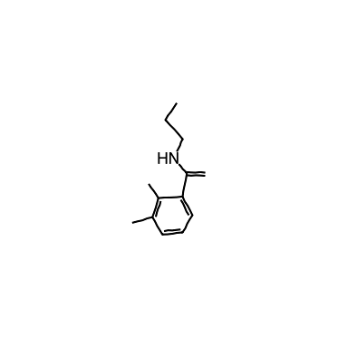 C=C(NCCC)c1cccc(C)c1C